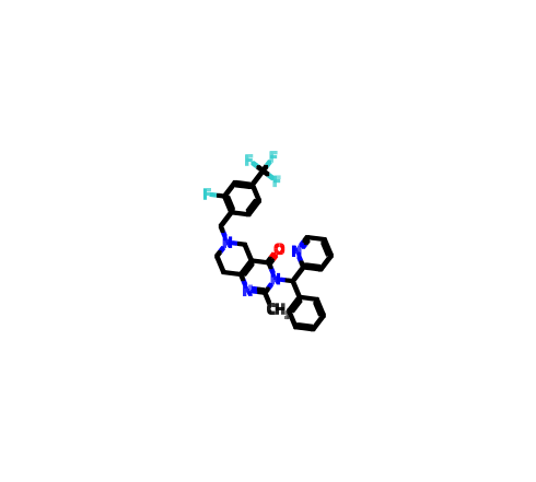 Cc1nc2c(c(=O)n1C(c1ccccc1)c1ccccn1)CN(Cc1ccc(C(F)(F)F)cc1F)CC2